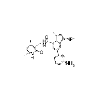 Cc1cc(C)c(CNC(=O)c2cc(-c3cccc(N)n3)cc3c2c(C)cn3C(C)C)c(=O)[nH]1